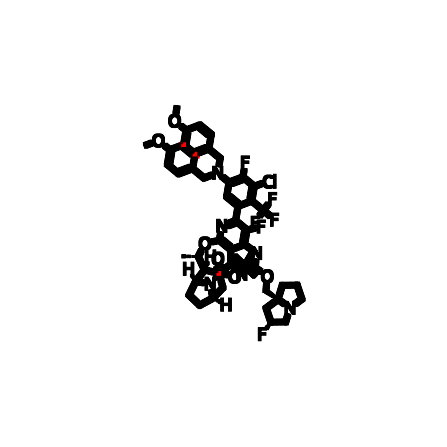 COc1ccc(CN(Cc2ccc(OC)cc2)c2cc(-c3nc4c5c(nc(OC[C@@]67CCCN6C[C@H](F)C7)nc5c3F)N3C[C@H]5CC[C@@H]([C@H]3[C@H](C)O4)N5C(=O)OC(C)(C)C)c(C(F)(F)F)c(Cl)c2F)cc1